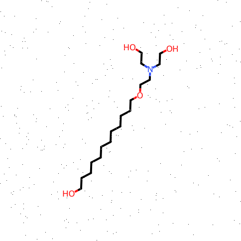 OCCCCCCCCCCCCOCCN(CCO)CCO